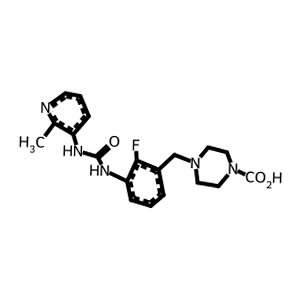 Cc1ncccc1NC(=O)Nc1cccc(CN2CCN(C(=O)O)CC2)c1F